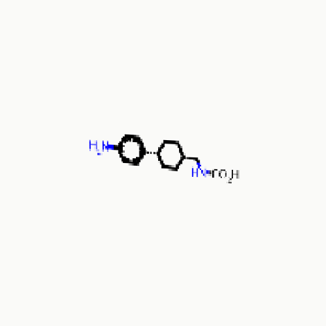 Nc1ccc([C@H]2CC[C@H](CNC(=O)O)CC2)cc1